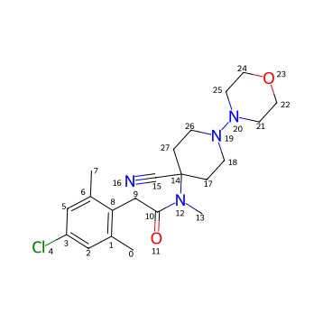 Cc1cc(Cl)cc(C)c1CC(=O)N(C)C1(C#N)CCN(N2CCOCC2)CC1